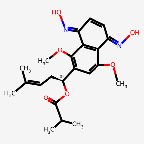 COc1cc([C@H](CC=C(C)C)OC(=O)C(C)C)c(OC)c2c1C(=NO)C=CC2=NO